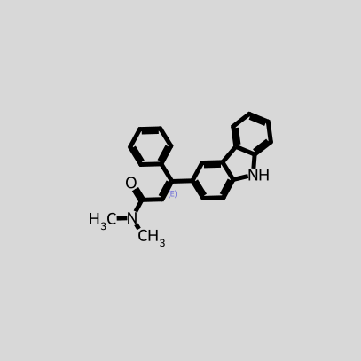 CN(C)C(=O)/C=C(\c1ccccc1)c1ccc2[nH]c3ccccc3c2c1